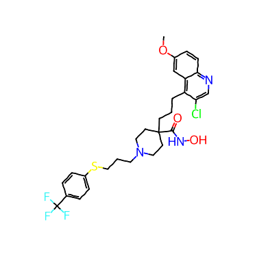 COc1ccc2ncc(Cl)c(CCCC3(C(=O)NO)CCN(CCCSc4ccc(C(F)(F)F)cc4)CC3)c2c1